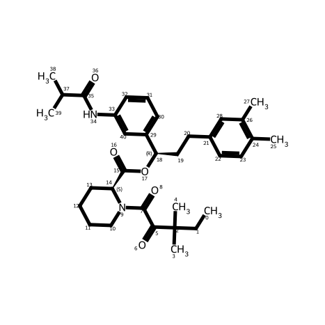 CCC(C)(C)C(=O)C(=O)N1CCCC[C@H]1C(=O)O[C@H](CCc1ccc(C)c(C)c1)c1cccc(NC(=O)C(C)C)c1